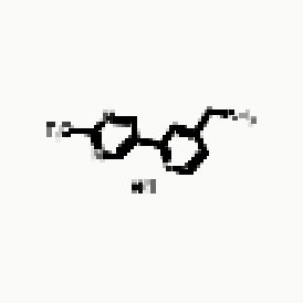 Cl.NCc1ccnc(-c2cnc(C(F)(F)F)nc2)c1